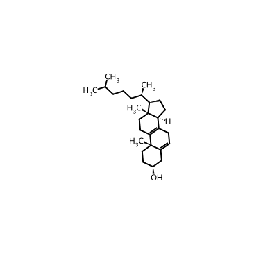 CC(C)CCC[C@@H](C)[C@H]1CC[C@H]2C3=C(CC[C@]12C)[C@@]1(C)CC[C@H](O)CC1=CC3